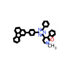 CN1CC=C(c2nc(-c3ccccc3)nc(-c3ccc(-c4cc5c6c(cccc6c4)-c4ccccc4-5)cc3)n2)c2c1oc1ccccc21